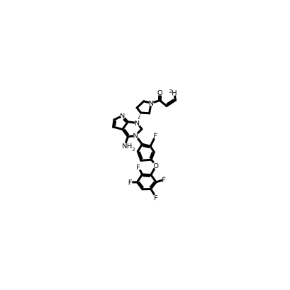 [2H]/C=C\C(=O)N1CC[C@@H](N2CN(c3ccc(Oc4c(F)c(F)cc(F)c4F)cc3F)C(N)=C3C=CN=C32)C1